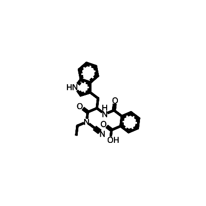 CCN(C#N)C(=O)C(Cc1c[nH]c2ccccc12)NC(=O)c1ccccc1C(=O)O